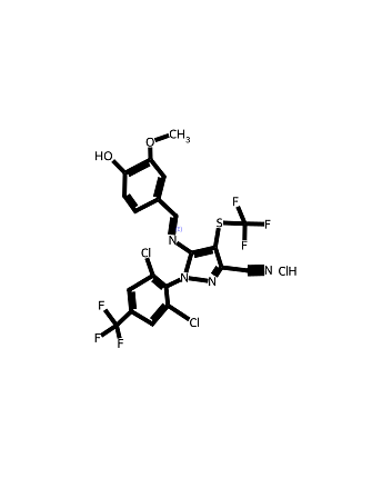 COc1cc(/C=N/c2c(SC(F)(F)F)c(C#N)nn2-c2c(Cl)cc(C(F)(F)F)cc2Cl)ccc1O.Cl